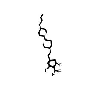 C/C=C/C[C@H]1CC[C@H]([C@H]2CC[C@H](CCc3cc(F)c(C(F)F)c(F)c3)CC2)CC1